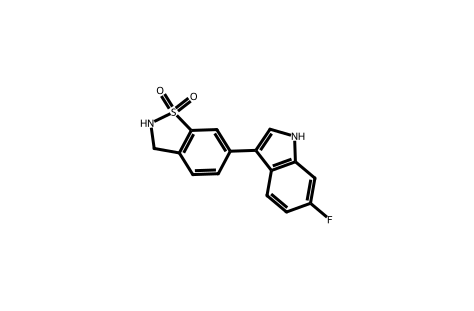 O=S1(=O)NCc2ccc(-c3c[nH]c4cc(F)ccc34)cc21